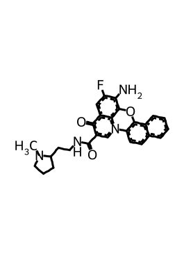 CN1CCCC1CCNC(=O)c1cn2c3c(c(N)c(F)cc3c1=O)Oc1c-2ccc2ccccc12